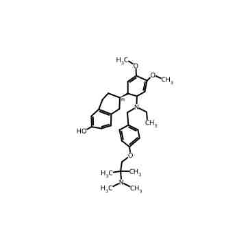 CCN(Cc1ccc(OCC(C)(C)N(C)C)cc1)C1C=C(OC)C(OC)=CC1[C@@H]1CCc2cc(O)ccc2C1